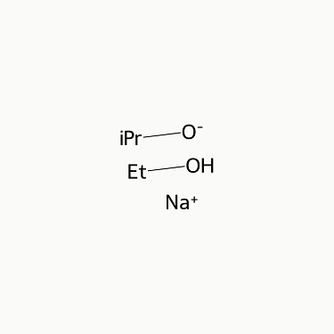 CC(C)[O-].CCO.[Na+]